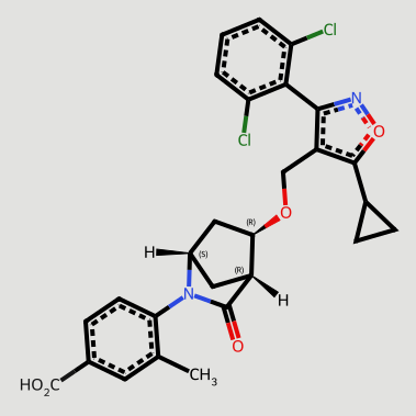 Cc1cc(C(=O)O)ccc1N1C(=O)[C@@H]2C[C@H]1C[C@H]2OCc1c(-c2c(Cl)cccc2Cl)noc1C1CC1